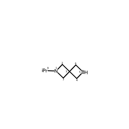 CC(C)N1CC2(CBC2)C1